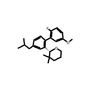 COc1ccc(F)c(-c2ccc(CC(C)C)cc2[C@@H]2OCCCC2(C)C)c1